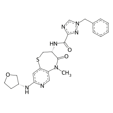 CN1C(=O)[C@@H](NC(=O)c2ncn(Cc3ccccc3)n2)CSc2cc(N[C@@H]3CCOC3)ncc21